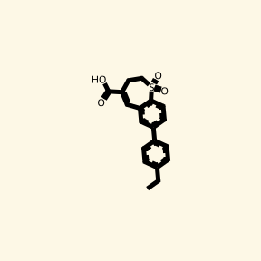 CCc1ccc(-c2ccc3c(c2)C=C(C(=O)O)CCS3(=O)=O)cc1